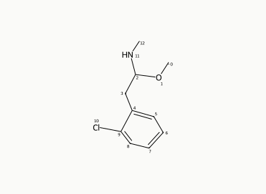 [CH2]OC(Cc1ccccc1Cl)NC